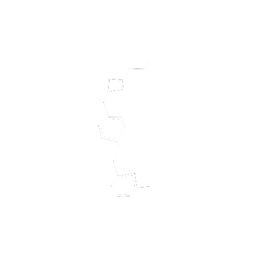 O=CNC1CN(Cc2ccc(OCc3cccc(Cl)c3)cc2)C1